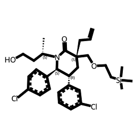 C=CC[C@@]1(COCC[Si](C)(C)C)C[C@H](c2cccc(Cl)c2)[C@@H](c2ccc(Cl)cc2)N([C@@H](C)CCO)C1=O